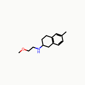 COCCNC1CCc2cc(C)ccc2C1